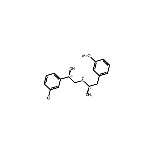 COc1cccc(C[C@@H](C)NC[C@H](O)c2cccc(Cl)c2)c1